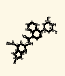 COc1nc(NC(=O)c2ccc(N3C[C@@H](C)N[C@H](C)C3)c3nccnc23)nc2cn(C)nc12